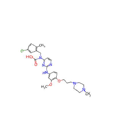 COc1cc(Nc2nccc(N(Cc3cc(Cl)ccc3C)C(=O)O)n2)ccc1OCCCN1CCN(C)CC1